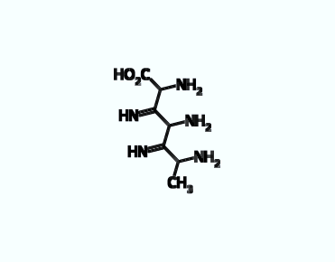 CC(N)C(=N)C(N)C(=N)C(N)C(=O)O